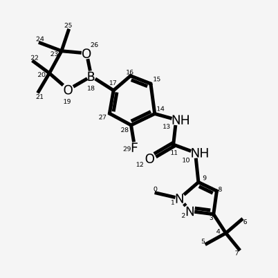 Cn1nc(C(C)(C)C)cc1NC(=O)Nc1ccc(B2OC(C)(C)C(C)(C)O2)cc1F